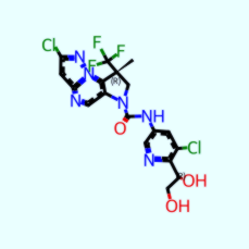 C[C@@]1(C(F)(F)F)CN(C(=O)Nc2cnc([C@@H](O)CO)c(Cl)c2)c2cnc3cc(Cl)nn3c21